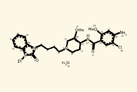 CCn1c(=O)n(CCCCN2CCC(NC(=O)c3cc(Cl)c(N)cc3OC)C(OC)C2)c2ccccc21.O